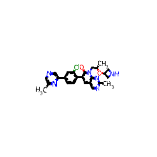 Cc1cncc(-c2ccc(-c3cc4cnc(C)nc4n(CC(C)OC4CNC4)c3=O)c(Cl)c2)n1